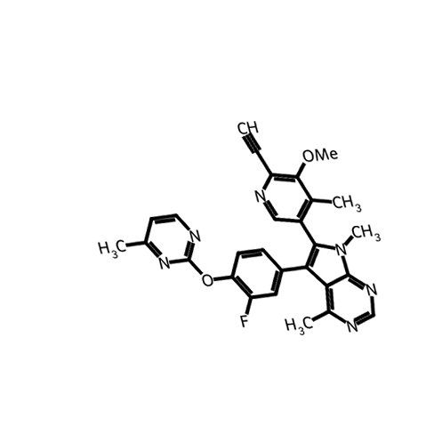 C#Cc1ncc(-c2c(-c3ccc(Oc4nccc(C)n4)c(F)c3)c3c(C)ncnc3n2C)c(C)c1OC